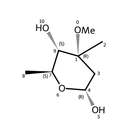 CO[C@]1(C)C[C@H](O)O[C@@H](C)[C@@H]1O